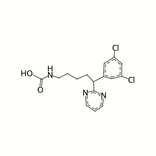 O=C(O)NCCCCC(c1cc(Cl)cc(Cl)c1)c1ncccn1